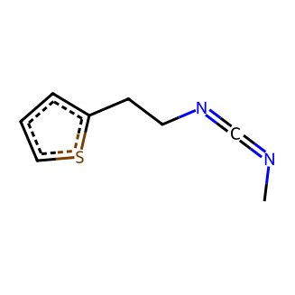 CN=C=NCCc1cccs1